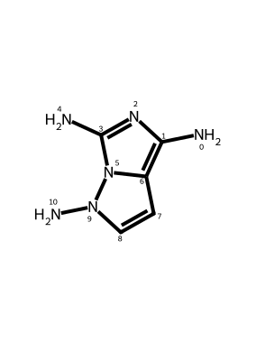 Nc1nc(N)n2c1ccn2N